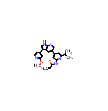 C=CC(=O)Nc1cc(-c2cnc3[nH]cc(-c4ccnc(OC)c4)c3c2)cc(C(C)C)n1